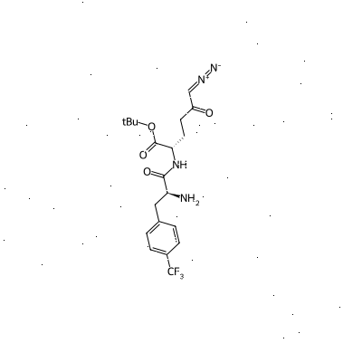 CC(C)(C)OC(=O)[C@H](CCC(=O)C=[N+]=[N-])NC(=O)[C@@H](N)Cc1ccc(C(F)(F)F)cc1